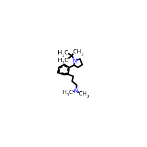 CN(C)CCCc1ccccc1C1CCCN1C(C)(C)C